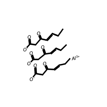 CCC=CC(=O)CC(=O)[O-].CCC=CC(=O)CC(=O)[O-].CCC=CC(=O)CC(=O)[O-].[Al+3]